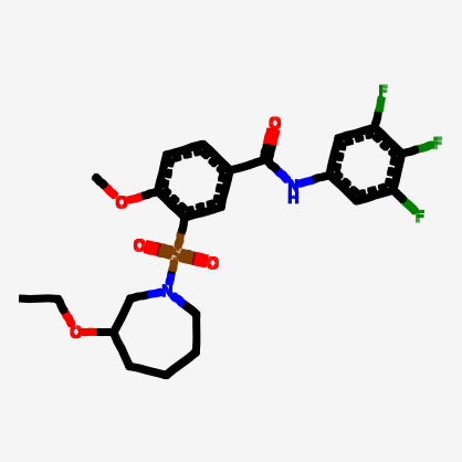 CCOC1CCCCN(S(=O)(=O)c2cc(C(=O)Nc3cc(F)c(F)c(F)c3)ccc2OC)C1